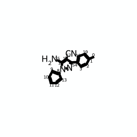 Cc1ccc(-c2nn(-c3ccccc3)c(N)c2C#N)cc1